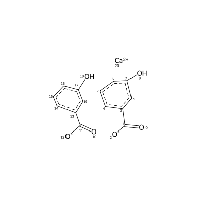 O=C([O-])c1cccc(O)c1.O=C([O-])c1cccc(O)c1.[Ca+2]